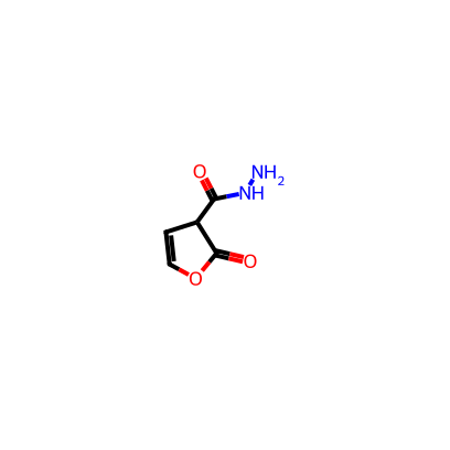 NNC(=O)C1C=COC1=O